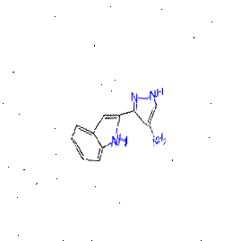 Nc1c[nH]nc1-c1cc2ccccc2[nH]1